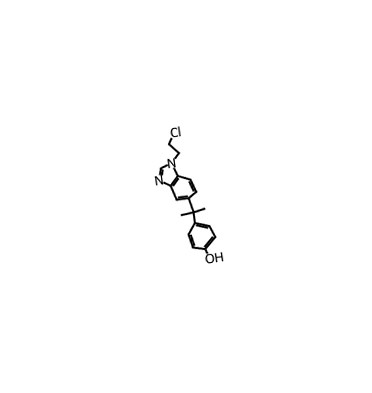 CC(C)(c1ccc(O)cc1)c1ccc2c(c1)ncn2CCCl